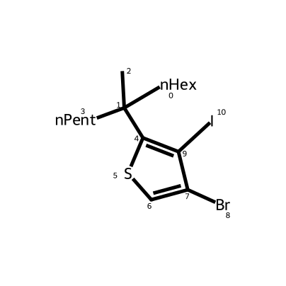 CCCCCCC(C)(CCCCC)c1scc(Br)c1I